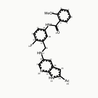 COc1ccccc1C(=O)Nc1ccc(F)c(CNc2cnc3[nH]c(C(C)=O)cc3c2)c1